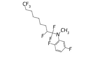 CN(c1cc(F)ccc1F)C(F)(F)C(F)CCCCCCC(F)(F)F